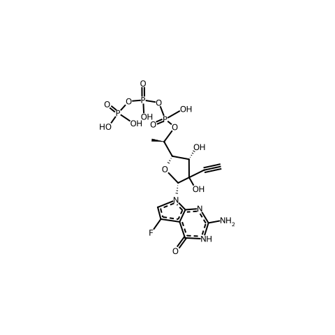 C#CC1(O)[C@@H](O)[C@@H]([C@@H](C)OP(=O)(O)OP(=O)(O)OP(=O)(O)O)O[C@H]1n1cc(F)c2c(=O)[nH]c(N)nc21